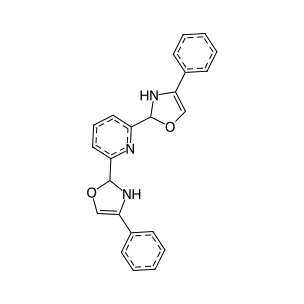 C1=C(c2ccccc2)NC(c2cccc(C3NC(c4ccccc4)=CO3)n2)O1